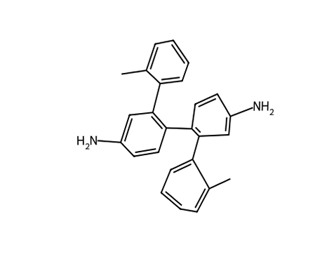 Cc1ccccc1-c1cc(N)ccc1-c1ccc(N)cc1-c1ccccc1C